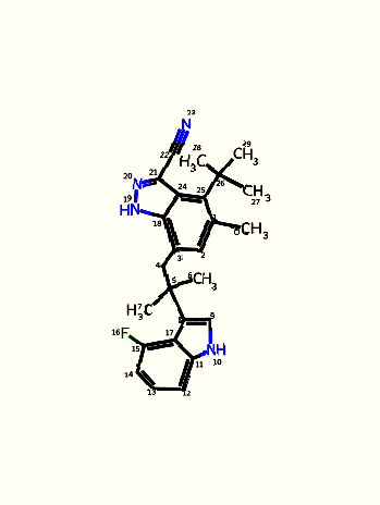 Cc1cc(CC(C)(C)c2c[nH]c3cccc(F)c23)c2[nH]nc(C#N)c2c1C(C)(C)C